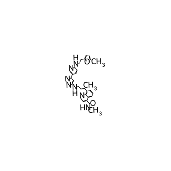 CNC(=O)c1ccnc2c(C(C)CCNc3cc(-c4ccc(NCCc5ccc(C)o5)nc4)ncn3)cccc12